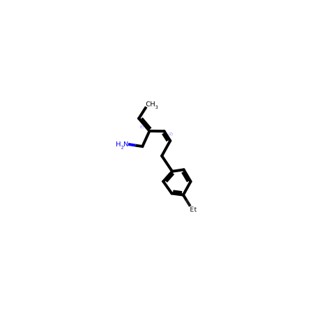 C/C=C(\C=C/Cc1ccc(CC)cc1)CN